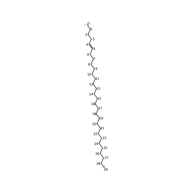 [CH2]CCCC=CCCCCCCCCCCCCCCCCCCCCCCC[CH2]